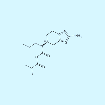 CCCN(C(=O)OC(=O)C(C)C)[C@H]1CCc2nc(N)sc2C1